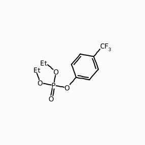 CCOP(=O)(OCC)Oc1ccc(C(F)(F)F)cc1